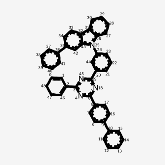 C1=CC(c2nc(-c3ccc(-c4ccccc4)cc3)nc(-c3cccc(-n4c5ccccc5c5ccc(-c6ccccc6)cc54)c3)n2)=CCC1